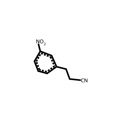 N#CCCc1cccc([N+](=O)[O-])c1